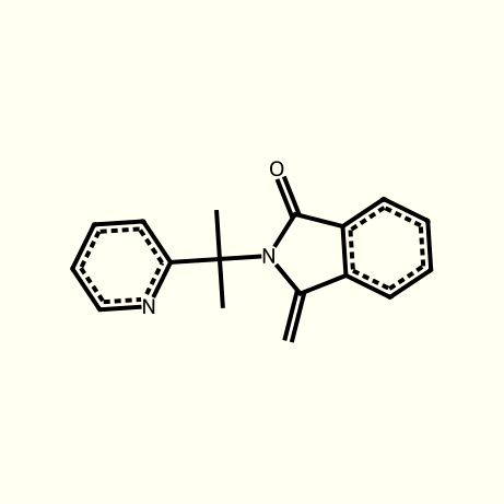 C=C1c2ccccc2C(=O)N1C(C)(C)c1ccccn1